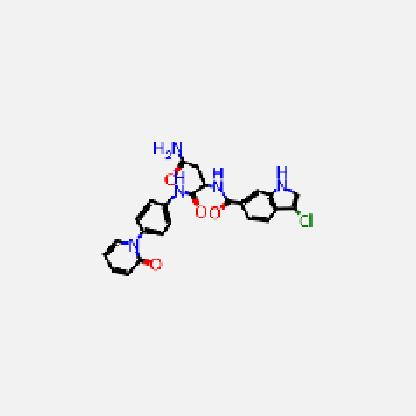 NC(=O)CC(NC(=O)c1ccc2c(Cl)c[nH]c2c1)C(=O)Nc1ccc(-n2ccccc2=O)cc1